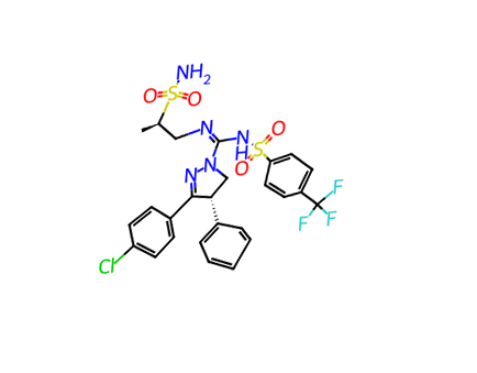 C[C@H](C/N=C(/NS(=O)(=O)c1ccc(C(F)(F)F)cc1)N1C[C@H](c2ccccc2)C(c2ccc(Cl)cc2)=N1)S(N)(=O)=O